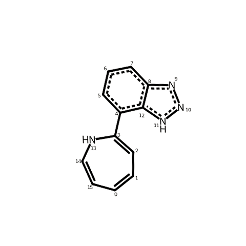 C1=CC=C(c2cccc3nn[nH]c23)NC=C1